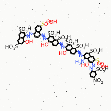 Nc1c(N=Nc2ccc3c(O)c(N=Nc4ccc5c(O)c(N=Nc6ccc(N=Nc7cc(S(=O)(=O)O)cc8cc(S(=O)(=O)O)cc(O)c78)c7ccc(SOOO)cc67)c(S(=O)(=O)O)cc5c4S(=O)(=O)O)c(S(=O)(=O)O)cc3c2S(=O)(=O)O)cc(S(=O)(=O)O)c2cc(SOOO)c(N=Nc3ccc([N+](=O)[O-])cc3S(=O)(=O)O)c(O)c12